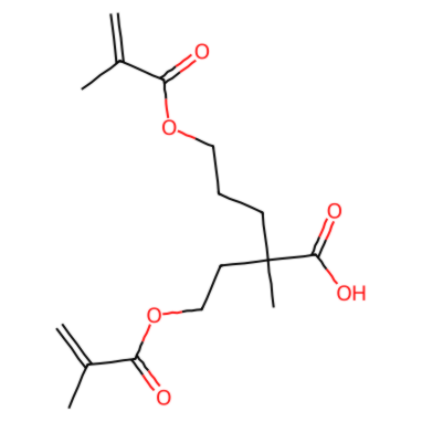 C=C(C)C(=O)OCCCC(C)(CCOC(=O)C(=C)C)C(=O)O